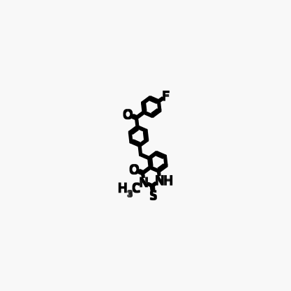 Cn1c(=S)[nH]c2cccc(Cc3ccc(C(=O)c4ccc(F)cc4)cc3)c2c1=O